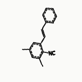 [C-]#[N+]c1c(C)cc(C)cc1C=Cc1ccccc1